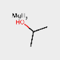 CC(C)O.[MgH2]